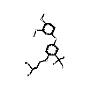 COc1ccc(Oc2ccc(OCC=C(Br)Br)c(C(F)(F)F)c2)cc1OC